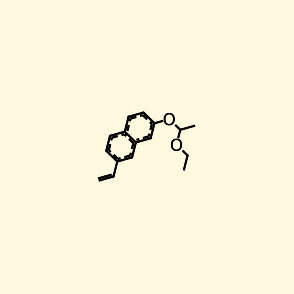 C=Cc1ccc2ccc(OC(C)OCC)cc2c1